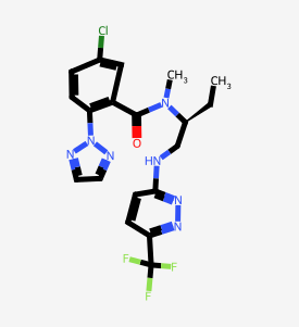 CC[C@@H](CNc1ccc(C(F)(F)F)nn1)N(C)C(=O)c1cc(Cl)ccc1-n1nccn1